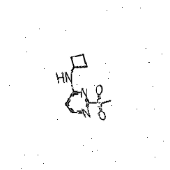 CS(=O)(=O)c1nccc(NC2CCC2)n1